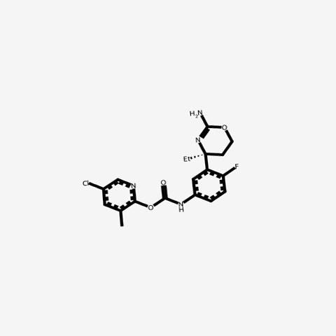 CC[C@@]1(c2cc(NC(=O)Oc3ncc(Cl)cc3C)ccc2F)CCOC(N)=N1